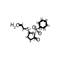 C=CCSC1CCC(=O)N1S(=O)(=O)c1ccccc1